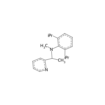 CC(C)c1cccc(C(C)C)c1N(C)C(C)c1ccccn1